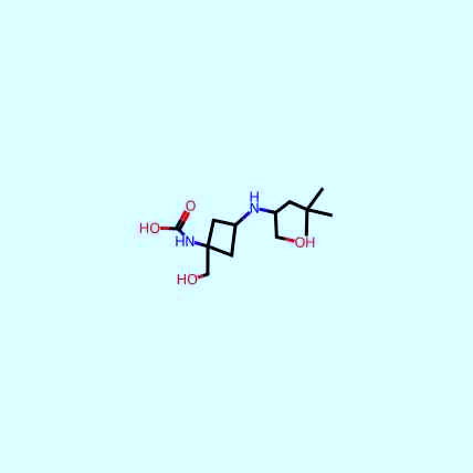 CC(C)(C)CC(CO)NC1CC(CO)(NC(=O)O)C1